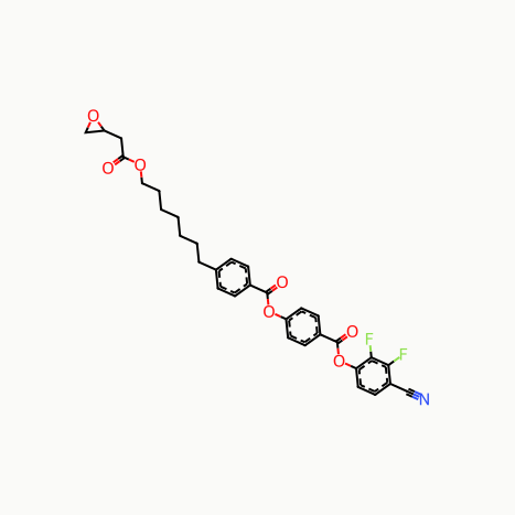 N#Cc1ccc(OC(=O)c2ccc(OC(=O)c3ccc(CCCCCCCOC(=O)CC4CO4)cc3)cc2)c(F)c1F